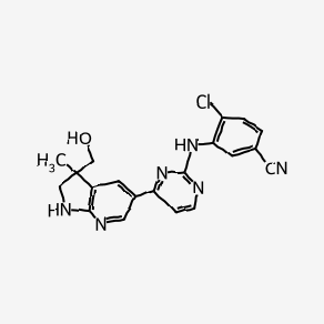 CC1(CO)CNc2ncc(-c3ccnc(Nc4cc(C#N)ccc4Cl)n3)cc21